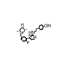 C[C@H]1CN(Cc2ccc(F)c(-c3ccnc(NCCc4ccc(O)cc4)n3)c2)[C@@H](C)CN1